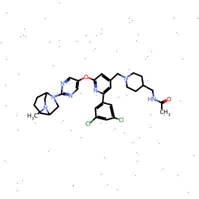 CC(=O)NCC1CCN(Cc2cc(Oc3cnc(N4CC5CCCC4CN5C)nc3)nc(-c3cc(Cl)cc(Cl)c3)c2)CC1